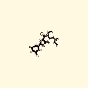 CCN(C)CCN(CC)C(=O)c1sc(-c2cccc(C)c2)nc1C